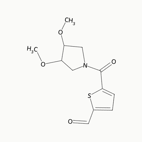 COC1CN(C(=O)c2ccc(C=O)s2)CC1OC